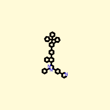 c1ccc(-c2nc(-c3ccc(-c4cccnc4)cc3)cc(-c3ccc(-c4ccc(-c5ccc6c(c5)-c5ccccc5C6(c5ccccc5)c5ccccc5)cc4)c4ccccc34)n2)cc1